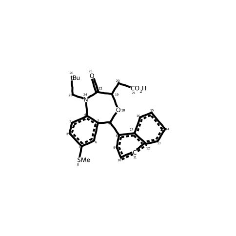 CSc1ccc2c(c1)C(c1cccc3ccccc13)OC(CC(=O)O)C(=O)N2CC(C)(C)C